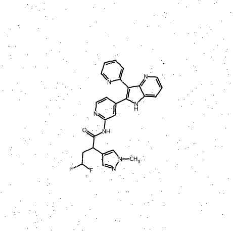 Cn1cc(C(CC(F)F)C(=O)Nc2cc(-c3[nH]c4cccnc4c3-c3ccccn3)ccn2)cn1